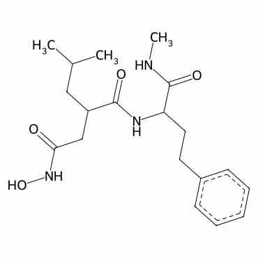 CNC(=O)C(CCc1ccccc1)NC(=O)C(CC(=O)NO)CC(C)C